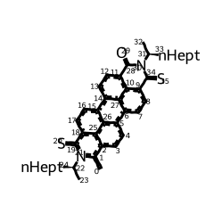 C=c1c2ccc3c4ccc5c6c(ccc(c7ccc(c(=S)n1[C@@H](C)CCCCCCC)c2c37)c64)C(=O)N([C@@H](C)CCCCCCC)C5=S